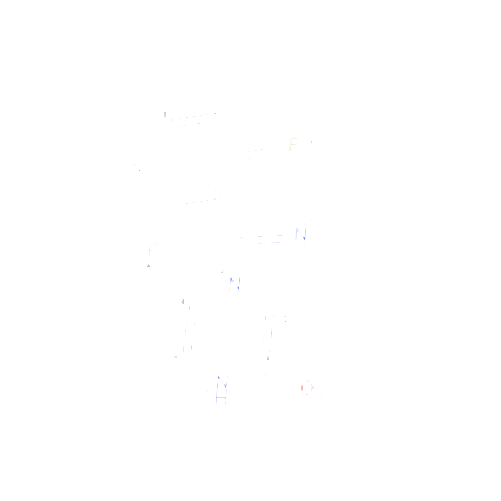 O=c1[nH]ccn2c(-c3c(F)cccc3F)ncc12